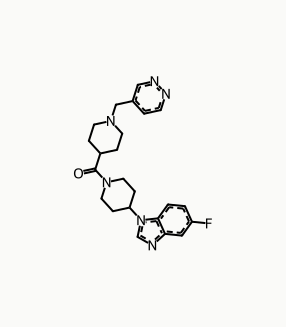 O=C(C1CCN(Cc2ccnnc2)CC1)N1CCC(n2cnc3cc(F)ccc32)CC1